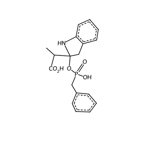 CC(C(=O)O)C1(OP(=O)(O)Cc2ccccc2)Cc2ccccc2N1